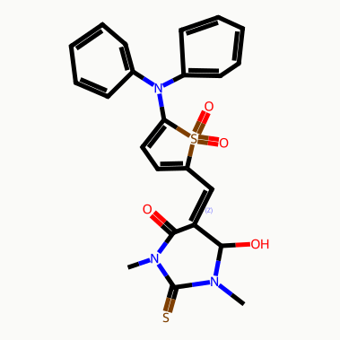 CN1C(=O)/C(=C\C2=CC=C(N(c3ccccc3)c3ccccc3)S2(=O)=O)C(O)N(C)C1=S